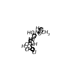 C[C@@H](Nc1nc(N2CC[C@H](NC(=O)[C@H]3CCCN3C)[C@@H](O)C2)ncc1Cl)c1ccc(Cl)cc1Cl